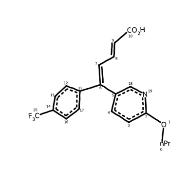 CCCOc1ccc(/C(=C\C=C\C(=O)O)c2ccc(C(F)(F)F)cc2)cn1